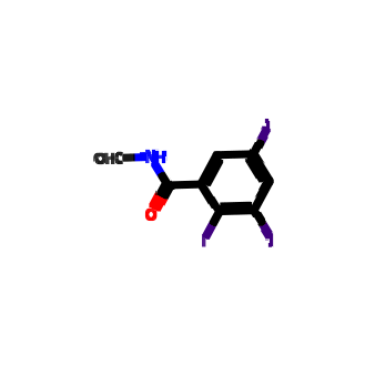 O=CNC(=O)c1cc(I)cc(I)c1I